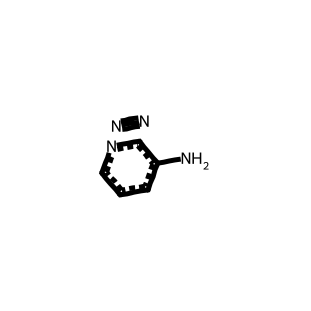 N#N.Nc1cccnc1